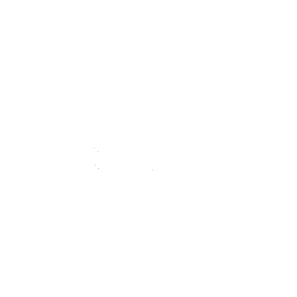 CCc1ccc([C@@H](Oc2ccc3c(cnn3-c3ccc(F)cc3)c2)[C@H](C)N)cc1